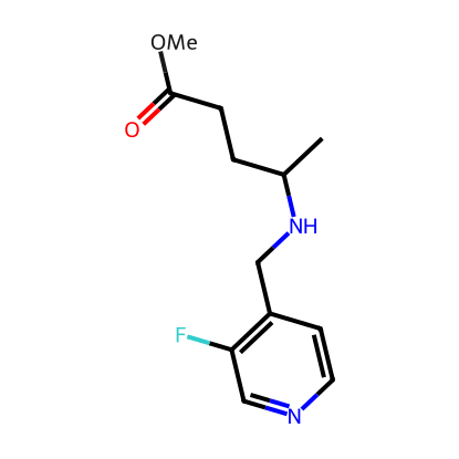 COC(=O)CCC(C)NCc1ccncc1F